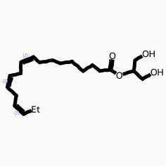 CC/C=C\C/C=C\C/C=C\CCCCCCCC(=O)OC(CO)CO